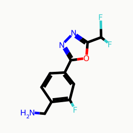 NCc1ccc(-c2nnc(C(F)F)o2)cc1F